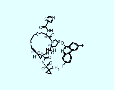 CC1(S(=O)(=O)NC(=O)[C@@]23C[C@H]2/C=C\CCCCC[C@H](NC(=O)c2cncs2)C(=O)N2C[C@H](Oc4nc5cc(F)ccc5c5cc(F)ccc45)C[C@H]2C(=O)N3)CC1